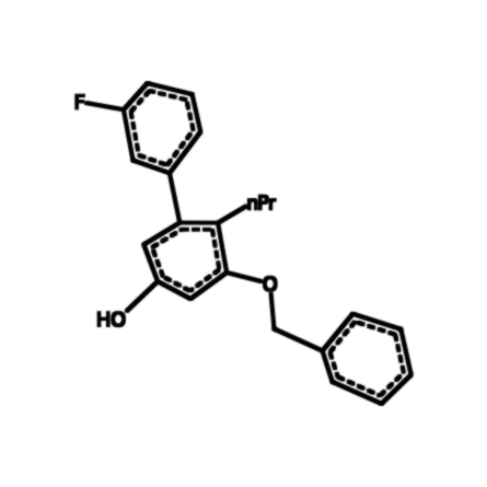 CCCc1c(OCc2ccccc2)cc(O)cc1-c1cccc(F)c1